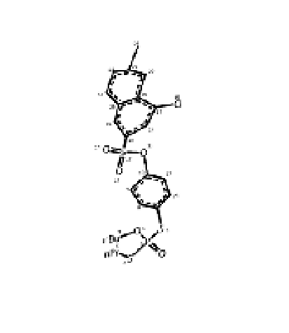 CCCCOP(=O)(SCCC)Sc1ccc(OS(=O)(=O)c2cc(Cl)c3cc(C)ccc3c2)cc1